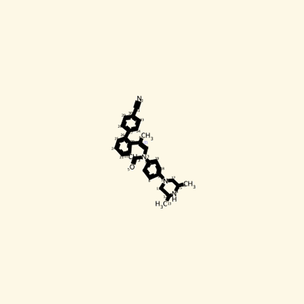 C/C(=C/N(C=O)c1ccc(N2CC(C)NC(C)C2)cc1)c1c(C)cccc1-c1ccc(C#N)cc1